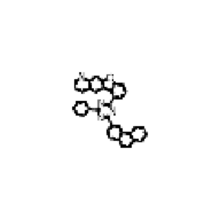 c1ccc(-c2nc(-c3ccc4ccc5ccccc5c4c3)nc(-c3cccc4oc5cc6ncccc6cc5c34)n2)cc1